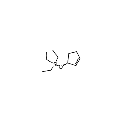 CC[Si](CC)(CC)O[C@@H]1C=CCC1